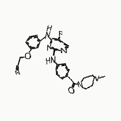 CN1CCN(C(=O)c2ccc(Nc3ncc(F)c(Nc4cccc(OCC#N)c4)n3)cc2)CC1